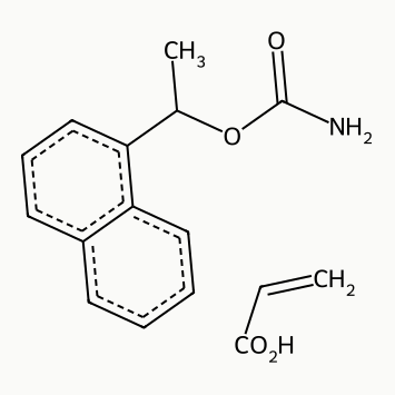 C=CC(=O)O.CC(OC(N)=O)c1cccc2ccccc12